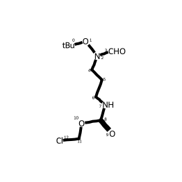 CC(C)(C)ON(C=O)CCCNC(=O)OCCl